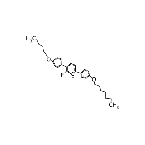 CCCCCCCOc1ccc(-c2ccc(-c3ccc(OCCCCCC)cc3)c(F)c2F)cc1